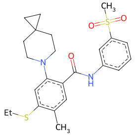 CCSc1cc(N2CCC3(CC2)CC3)c(C(=O)Nc2cccc(S(C)(=O)=O)c2)cc1C